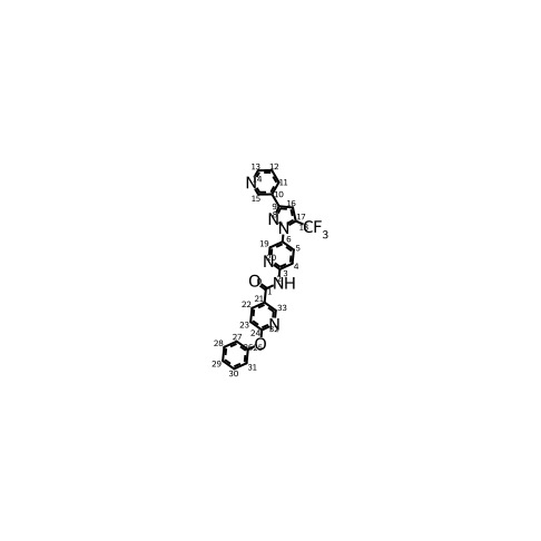 O=C(Nc1ccc(-n2nc(-c3cccnc3)cc2C(F)(F)F)cn1)c1ccc(Oc2ccccc2)nc1